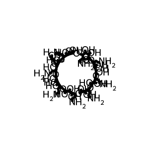 C=CCOC1C(O)OC(CCN)C(O)C(O)C(O)OC2C(CN)OC(OC(CCN)/C(O)=C(/O)C(O)OC(CCN)/C(O)=C(\O)OC(CCN)/C(O)=C(\O)OC(CCN)/C(O)=C(\O)C(O)OC(CCN)C(O)C(O)C(O)OC(CCN)C1O)C(O)C2O